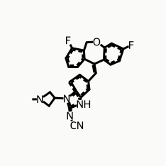 CN1CC(n2/c(=N/C#N)[nH]c3cc(/C=C4/c5ccc(F)cc5OCc5c(F)cccc54)ccc32)C1